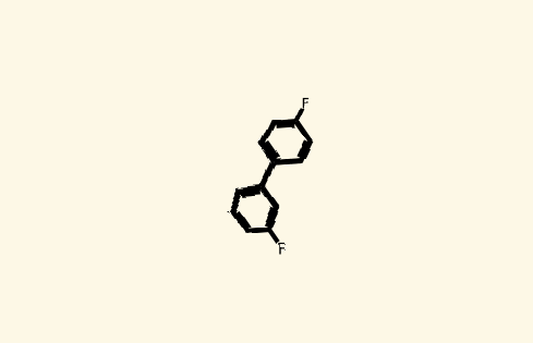 Fc1ccc(-c2c[c]cc(F)c2)cc1